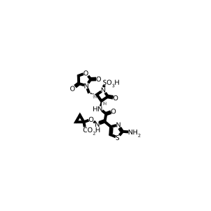 Nc1nc(C(=NOC2(C(=O)O)CC2)C(=O)N[C@@H]2C(=O)N(S(=O)(=O)O)[C@H]2CN2C(=O)COC2=O)cs1